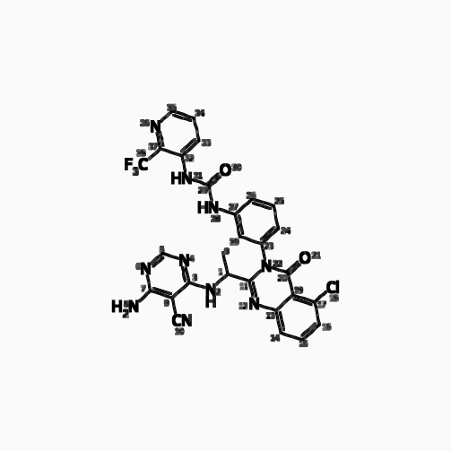 CC(Nc1ncnc(N)c1C#N)c1nc2cccc(Cl)c2c(=O)n1-c1cccc(NC(=O)Nc2cccnc2C(F)(F)F)c1